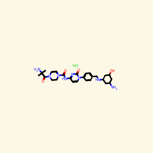 CC(C)(N)C(=O)N1CCN(C(=O)Nc2ccn(-c3ccc(CNC4CC(N)CC(O)C4)cc3)c(=O)n2)CC1.Cl